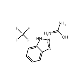 F[B-](F)(F)F.NC(=[NH2+])O.c1ccc2[nH]nnc2c1